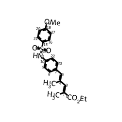 CCOC(=O)/C(C)=C/C(C)=C/c1ccc(NS(=O)(=O)c2ccc(OC)cc2)cc1